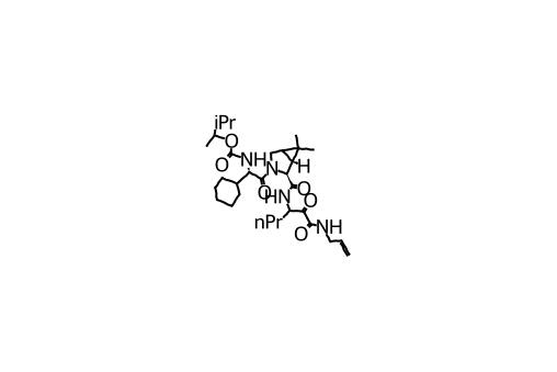 C=CCNC(=O)C(=O)C(CCC)NC(=O)[C@@H]1[C@@H]2C(CN1C(=O)[C@@H](NC(=O)OC(C)C(C)C)C1CCCCC1)C2(C)C